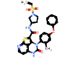 C=CS(=O)(=O)N1CCC(NC(=O)c2sc3nccc4c3c2N(c2ccc(Oc3ccccc3)cc2C)C(=O)N4)C1